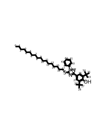 CCCCCCCCCCCCCCCCCCSc1nc(-c2cc(C(C)(C)C)c(O)c(C(C)(C)C)c2)nn1-c1ccccc1